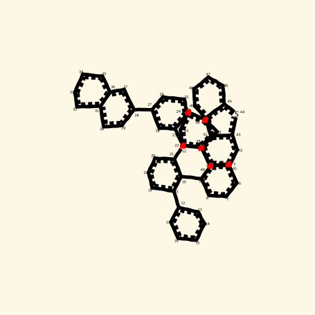 c1ccc(-c2ccccc2-c2c(-c3ccccc3)cccc2N(c2cccc(-c3ccc4ccccc4c3)c2)c2cccc3sc4ccccc4c23)cc1